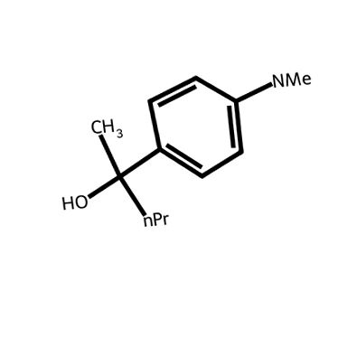 CCCC(C)(O)c1ccc(NC)cc1